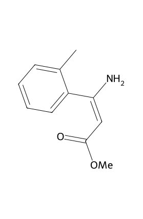 COC(=O)/C=C(/N)c1ccccc1C